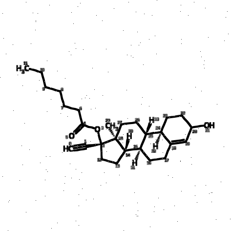 C#C[C@]1(OC(=O)CCCCCC)CC[C@H]2[C@@H]3CCC4=CC(O)CC[C@@H]4[C@H]3CC[C@@]21C